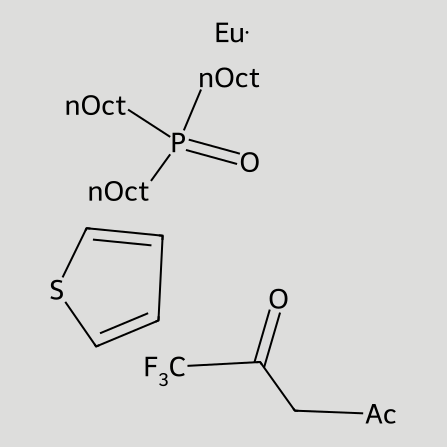 CC(=O)CC(=O)C(F)(F)F.CCCCCCCCP(=O)(CCCCCCCC)CCCCCCCC.[Eu].c1ccsc1